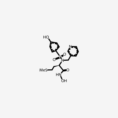 CSCC[C@H](C(=O)NO)N(Cc1cccnc1)S(=O)(=O)c1ccc(O)cc1